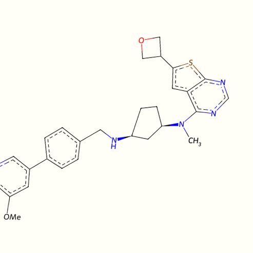 COc1cncc(-c2ccc(CN[C@H]3CC[C@@H](N(C)c4ncnc5sc(C6COC6)cc45)C3)cc2)c1